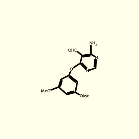 COc1cc(OC)cc(Oc2ncnc(N)c2C=O)c1